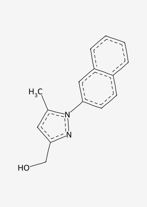 Cc1cc(CO)nn1-c1ccc2ccccc2c1